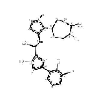 Cn1ncc(NC(O)c2nc(-c3cccc(F)c3Cl)sc2N)c1[C@@H]1CC[C@@H](N)[C@H](F)CO1